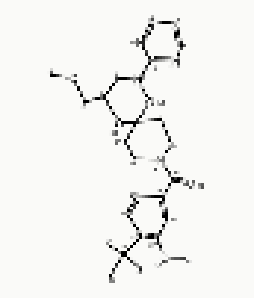 COCC1CN(c2ncccn2)OC2(CCN(C(=O)c3ccc(C(C)(C)C)c(OC)c3)CC2)O1